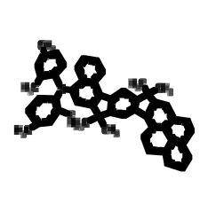 Cc1ccc(N(c2ccc(C)cc2C)c2cc3c(c4ccccc24)-c2cc4c(cc2C3(C)C)-c2c(cc3ccc5cccc6ccc2c3c56)C4(C)C)c(C)c1